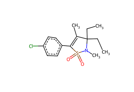 CCC1(CC)C(C)=C(c2ccc(Cl)cc2)S(=O)(=O)N1C